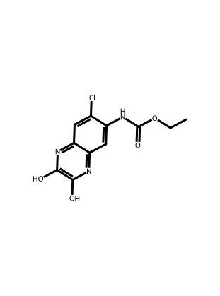 CCOC(=O)Nc1cc2nc(O)c(O)nc2cc1Cl